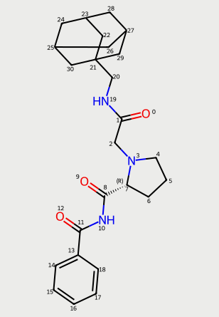 O=C(CN1CCC[C@@H]1C(=O)NC(=O)c1ccccc1)NCC12CC3CC(CC(C3)C1)C2